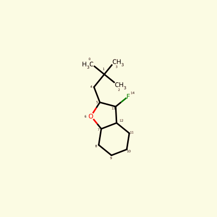 CC(C)(C)CC1OC2CCCCC2C1F